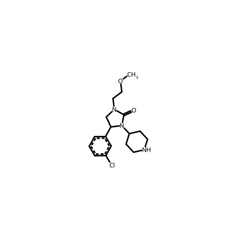 COCCN1CC(c2cccc(Cl)c2)N(C2CCNCC2)C1=O